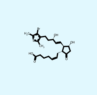 Cc1sc(C)c(CC[C@H](O)/C=C/[C@H]2[C@H](O)CC(=O)[C@@H]2C/C=C\CCCC(=O)O)c1Br